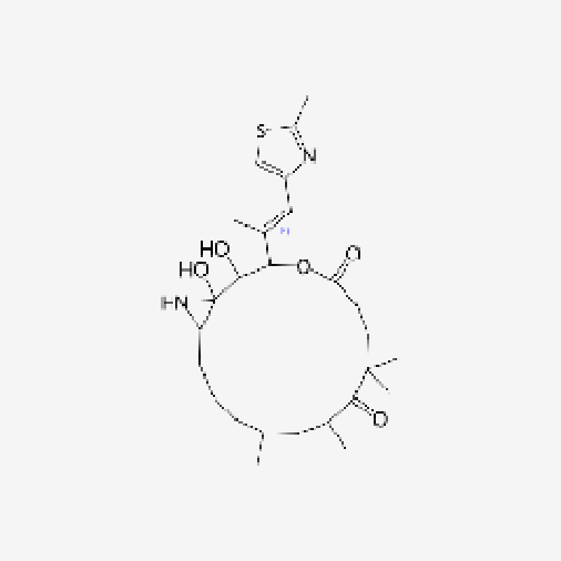 C/C(=C\c1csc(C)n1)C1OC(=O)CCC(C)(C)C(=O)C(C)CC(C)CCCC2NC2(O)C1O